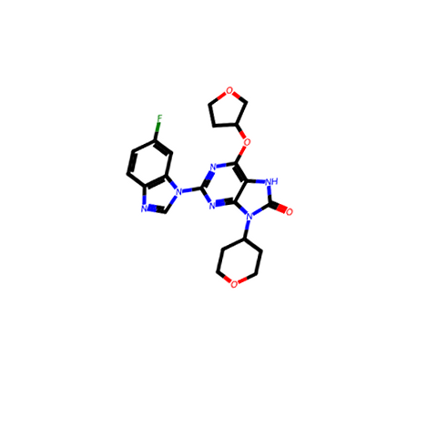 O=c1[nH]c2c(OC3CCOC3)nc(-n3cnc4ccc(F)cc43)nc2n1C1CCOCC1